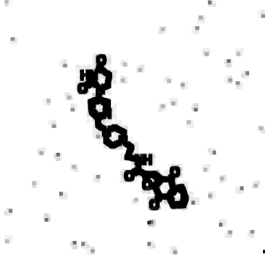 O=C1CCN(c2ccc(CN3CCN(CCNC(=O)c4cc5c(o4)C(=O)c4ccccc4C5=O)CC3)nc2)C(=O)N1